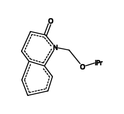 CC(C)OCn1c(=O)ccc2ccccc21